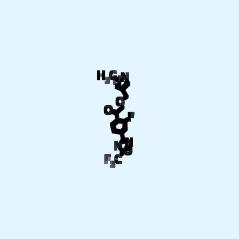 Cn1cc(COCC(=O)c2ccc(-c3noc(C(F)(F)F)n3)cc2F)cn1